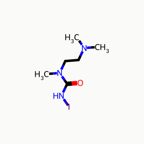 CN(C)CCN(C)C(=O)NI